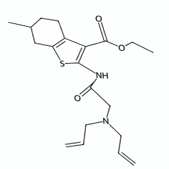 C=CCN(CC=C)CC(=O)Nc1sc2c(c1C(=O)OCC)CCC(C)C2